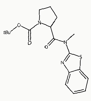 CN(C(=O)C1CCCN1C(=O)OC(C)(C)C)c1nc2ccccc2s1